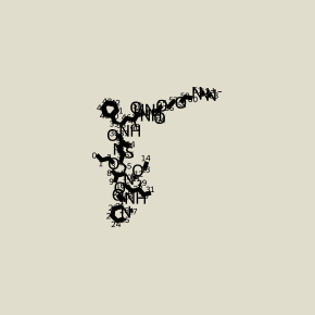 CCCO[C@H](C[C@H](C(C)C)N(COCC)C(=O)[C@@H](NC(=O)[C@H]1CCCCN1C)[C@@H](C)CC)c1nc(C(=O)N[C@@H](Cc2ccccc2)C[C@H](C)C(=O)NNC(=O)OCCOCCN=[N+]=[N-])cs1